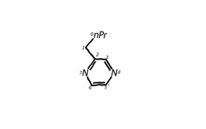 CCCCc1cn[c]cn1